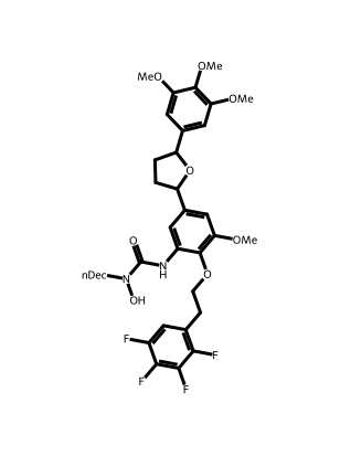 CCCCCCCCCCN(O)C(=O)Nc1cc(C2CCC(c3cc(OC)c(OC)c(OC)c3)O2)cc(OC)c1OCCc1cc(F)c(F)c(F)c1F